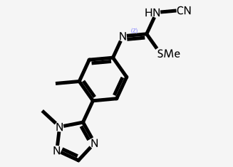 CS/C(=N\c1ccc(-c2ncnn2C)c(C)c1)NC#N